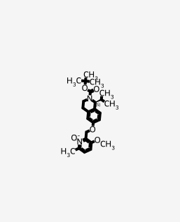 COc1ccc(C)[n+]([O-])c1COc1ccc2c(c1)CCN(C(=O)OC(C)(C)C)[C@H]2C(C)C